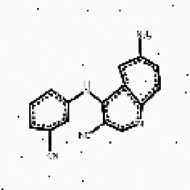 N#Cc1cccc(Nc2c(C#N)cnc3ccc(N)cc23)c1